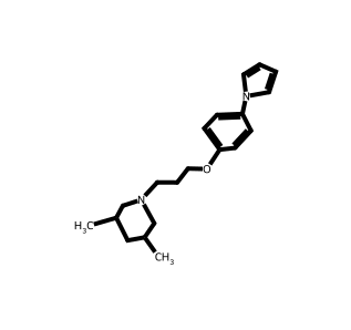 CC1CC(C)CN(CCCOc2ccc(-n3cccc3)cc2)C1